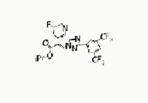 CC(C)OC(=O)C(=Cn1cnc(-c2cc(C(F)(F)F)cc(C(F)(F)F)c2)n1)c1cncc(F)c1